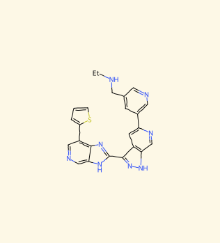 CCNCc1cncc(-c2cc3c(-c4nc5c(-c6cccs6)cncc5[nH]4)n[nH]c3cn2)c1